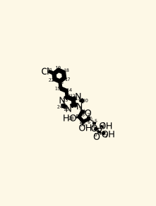 O=P(O)(O)OC[C@H]1O[C@@H](n2cnc3c(C=Cc4cccc(Cl)c4)ncnc32)[C@H](O)[C@@H]1O